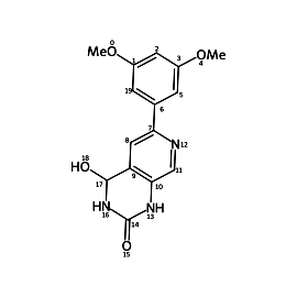 COc1cc(OC)cc(-c2cc3c(cn2)NC(=O)NC3O)c1